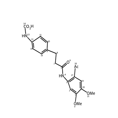 COc1cc(NC(=O)CCc2ccc(NC(=O)O)cc2)c(C(C)=O)cc1OC